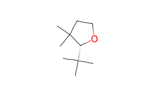 CC(C)(C)[C@H]1OCCC1(C)C